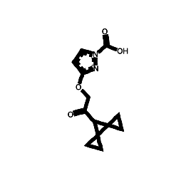 O=C(COc1ccn(C(=O)O)n1)C1C2(CC2)C12CC2